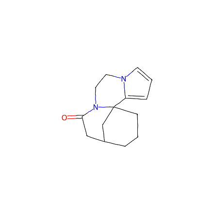 O=C1CC2CCCC3(C2)c2cccn2CCN13